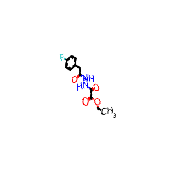 CCOC(=O)C(=O)NNC(=O)Cc1ccc(F)cc1